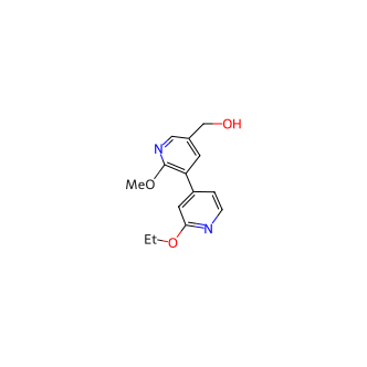 CCOc1cc(-c2cc(CO)cnc2OC)ccn1